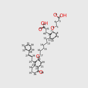 O=C(O)CCCOc1cccc(CCCCCCOc2ccc3c(c2CC=Cc2ccccc2)CCCC3=O)c1CCC(=O)O